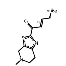 CC[C@H](C)C/C=C/C(=O)c1nc2c(s1)CN(C)CC2